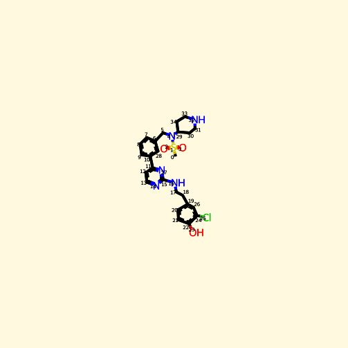 CS(=O)(=O)N(Cc1cccc(-c2ccnc(NCCc3ccc(O)c(Cl)c3)n2)c1)C1CCNCC1